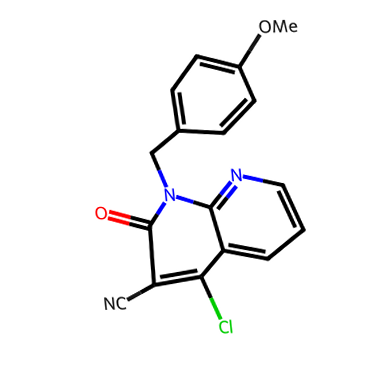 COc1ccc(Cn2c(=O)c(C#N)c(Cl)c3cccnc32)cc1